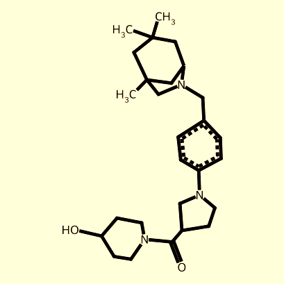 CC1(C)CC2CC(C)(CN2Cc2ccc(N3CCC(C(=O)N4CCC(O)CC4)C3)cc2)C1